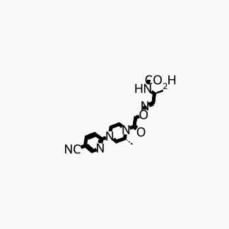 C[C@@H]1CN(c2ccc(C#N)cn2)CCN1C(=O)CO/N=C/[C@H](C)NC(=O)O